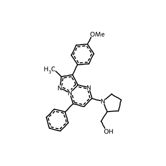 COc1ccc(-c2c(C)nn3c(-c4ccccc4)cc(N4CCCC4CO)nc23)cc1